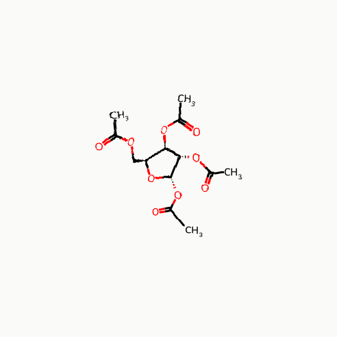 CC(=O)OC[C@@H]1O[C@@H](OC(C)=O)[C@@H](OC(C)=O)[C@@H]1OC(C)=O